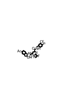 CC(=O)c1ccc2c(c1)C[C@@H](O)[C@@H]2NC(=O)c1cc(C(=O)NCc2ccc(F)c(C(F)(F)F)c2)nc2c(F)cnn12